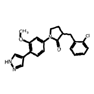 COc1cc(N2CCC(Cc3ccccc3Cl)C2=O)ccc1-c1cn[nH]c1